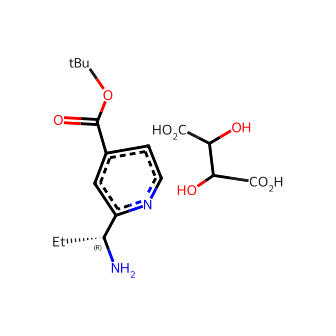 CC[C@@H](N)c1cc(C(=O)OC(C)(C)C)ccn1.O=C(O)C(O)C(O)C(=O)O